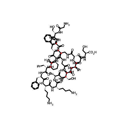 CC[C@H](C)[C@H](NC(=O)[C@H](CCCCN)NC(=O)[C@H](CCCCN)NC(=O)[C@H](Cc1ccccc1)NC(=O)[C@H](CC(C)C)NC(=O)[C@H](CCCNC(=N)N)NC(=O)[C@H](Cc1c[nH]c2ccccc12)NC(=O)CNC(=O)[C@H](CO)NC(=O)[C@@H](NC(=O)[C@H](CO)NC(=O)CNC(=O)CNC(=O)CNC(=O)[C@H](CO)NC(=O)CN)C(C)C)C(=O)N[C@@H](CO)C(=O)NCC(=O)NCC(=O)N[C@@H](CO)C(=O)O